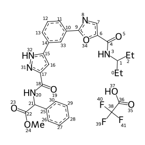 CCC(CC)NC(=O)c1cnc(-c2cccc(-c3cc(C(=O)NC(C(=O)OC)c4ccccc4)n[nH]3)c2)o1.O=C(O)C(F)(F)F